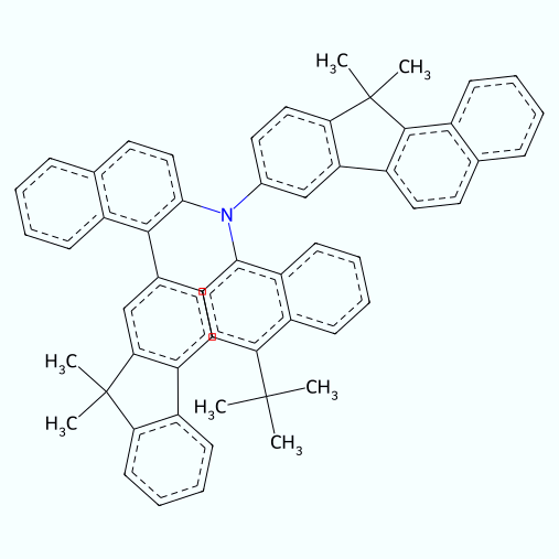 CC(C)(C)c1ccc(N(c2ccc3c(c2)-c2ccc4ccccc4c2C3(C)C)c2ccc3ccccc3c2-c2ccc3c(c2)C(C)(C)c2ccccc2-3)c2ccccc12